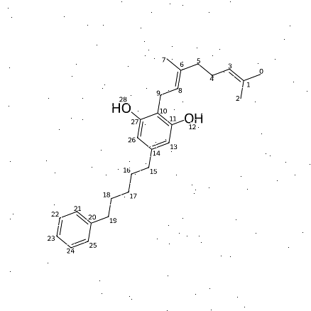 CC(C)=CCC/C(C)=C/Cc1c(O)cc(CCCCCc2ccccc2)cc1O